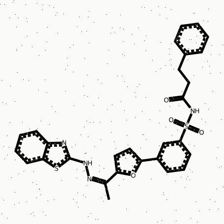 CC(=NNc1nc2ccccc2s1)c1ccc(-c2cccc(S(=O)(=O)NC(=O)CCc3ccccc3)c2)o1